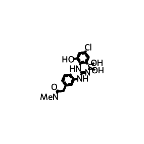 CNC(=O)Cc1cccc(NC2=NS(O)(O)c3cc(Cl)cc(O)c3N2)c1